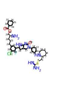 N=C(N)SCC[C@@H]1CCCC[C@@H](c2ccc(-n3cc4cc(-c5cc(CCC[C@@H](N)COC(=O)c6ccccc6)cc(Cl)c5F)[nH]c4nc3=O)cc2)N1